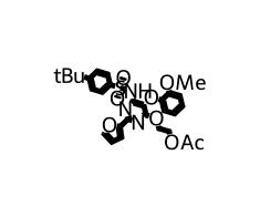 COc1ccccc1Oc1c(NS(=O)(=O)c2ccc(C(C)(C)C)cc2)nc(-c2ccco2)nc1OCCOC(C)=O